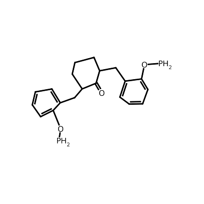 O=C1C(Cc2ccccc2OP)CCCC1Cc1ccccc1OP